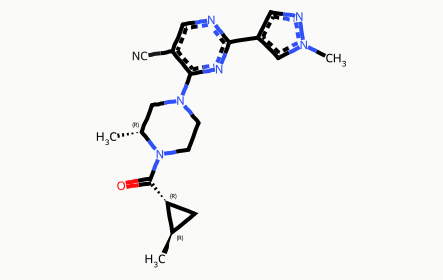 C[C@@H]1C[C@H]1C(=O)N1CCN(c2nc(-c3cnn(C)c3)ncc2C#N)C[C@H]1C